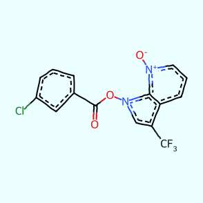 O=C(On1cc(C(F)(F)F)c2ccc[n+]([O-])c21)c1cccc(Cl)c1